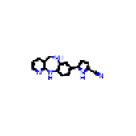 N#Cc1ccc(-c2ccc3c(c2)NCc2cccnc2N3)[nH]1